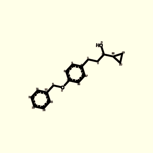 OC(CCc1ccc(OCc2ccccc2)cc1)C1CC1